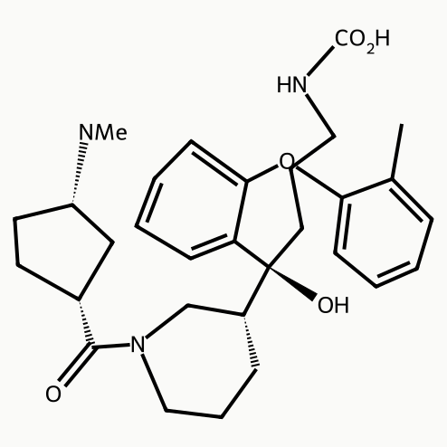 CN[C@H]1CC[C@@H](C(=O)N2CCC[C@@H]([C@@](O)(CCCNC(=O)O)c3ccccc3Oc3ccccc3C)C2)C1